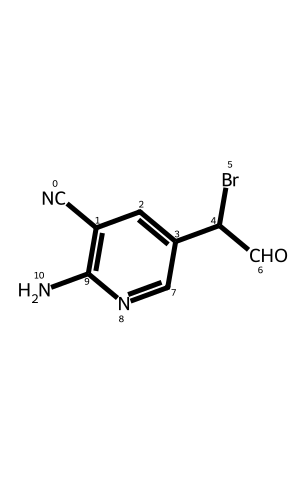 N#Cc1cc(C(Br)C=O)cnc1N